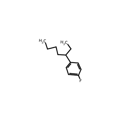 CCCCC(CC)c1ccc(F)cc1